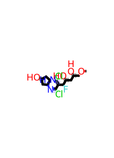 COC[C@@H](O)C[C@@H](O)C(F)C(/C(Cl)=N\C1CC[C@H](O)C1)=C(/N)Cl